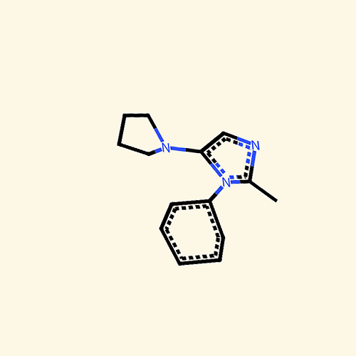 Cc1ncc(N2CCCC2)n1-c1ccccc1